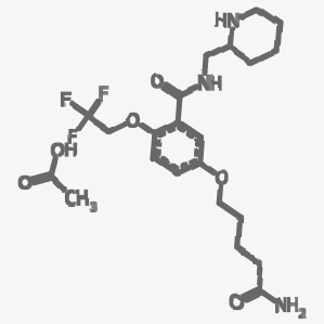 CC(=O)O.NC(=O)CCCCOc1ccc(OCC(F)(F)F)c(C(=O)NCC2CCCCN2)c1